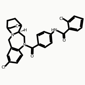 O=C(Nc1ccc(C(=O)N2C[C@@H]3C4CCC(CC4)N3Cc3cc(Cl)ccc32)cc1)c1ccccc1Cl